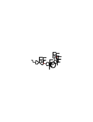 CCCc1ccc(-c2ccc(-c3ccc(C(F)(F)Oc4cc(F)c5c(F)c(F)c(F)cc5c4)cc3)c(F)c2F)cc1